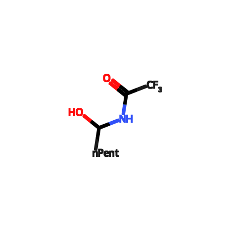 CCCCCC(O)NC(=O)C(F)(F)F